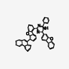 c1ccc(C2=NC(c3cccc4oc5c(-c6cc7ccccc7c7ccccc67)cccc5c34)=NC(c3ccc4c(c3)oc3ccccc34)N2)cc1